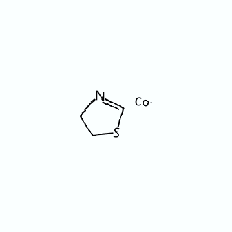 [C]1=NCCS1.[Co]